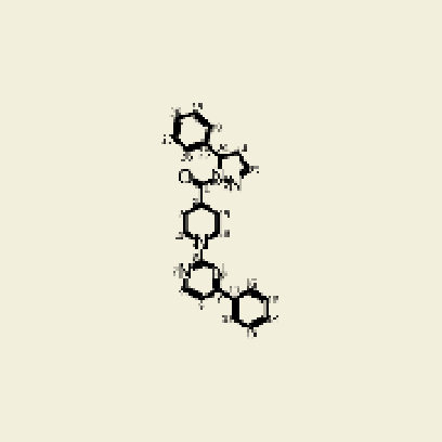 O=C(C1CCN(c2nccc(-c3ccccc3)n2)CC1)N1N=CCC1c1ccccc1